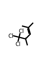 C[C](C=C(C)C)C(Cl)(Cl)Cl